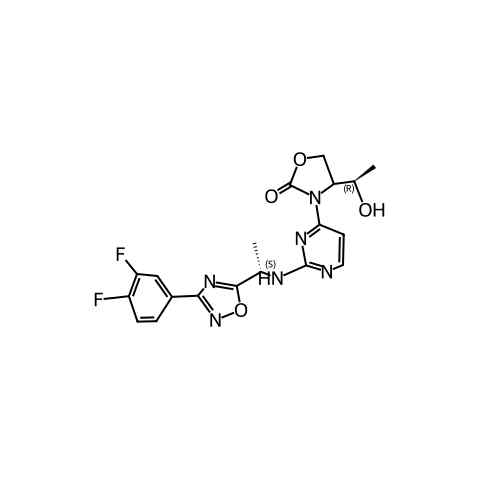 C[C@H](Nc1nccc(N2C(=O)OCC2[C@@H](C)O)n1)c1nc(-c2ccc(F)c(F)c2)no1